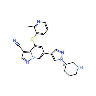 Cc1ncccc1Sc1cc(-c2cnn([C@@H]3CCCNC3)c2)cn2ncc(C#N)c12